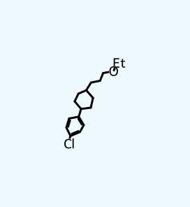 CCOCCCC1CCC(c2ccc(Cl)cc2)CC1